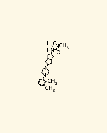 Cc1cccc(N2CCN(C3CC4CC(NC(=O)N(C)C)CC4C3)CC2)c1C